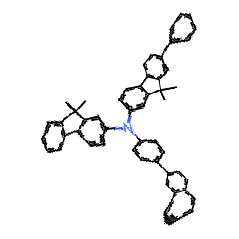 CC1(C)c2ccccc2-c2ccc(N(c3ccc(-c4ccc5ccccc5c4)cc3)c3ccc4c(c3)C(C)(C)c3cc(-c5ccccc5)ccc3-4)cc21